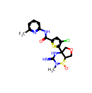 CN1C(=N)NC2(c3sc(C(=O)Nc4cccc(C(F)(F)F)n4)cc3Cl)COCC2[S+]1[O-]